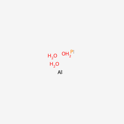 O.O.O.[Al].[P]